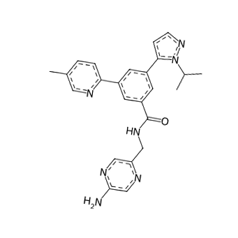 Cc1ccc(-c2cc(C(=O)NCc3cnc(N)cn3)cc(-c3ccnn3C(C)C)c2)nc1